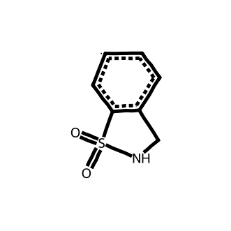 O=S1(=O)NCc2cc[c]cc21